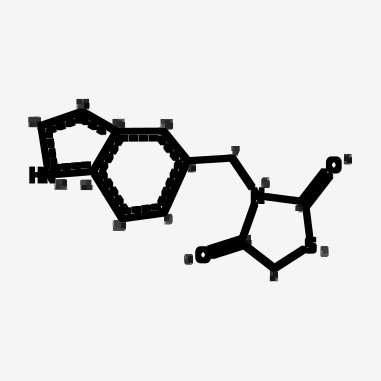 O=C1CSC(=O)N1Cc1ccc2[nH]ccc2c1